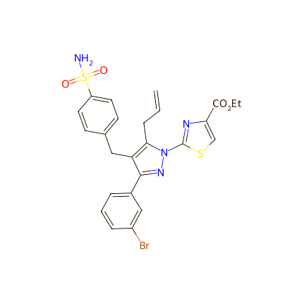 C=CCc1c(Cc2ccc(S(N)(=O)=O)cc2)c(-c2cccc(Br)c2)nn1-c1nc(C(=O)OCC)cs1